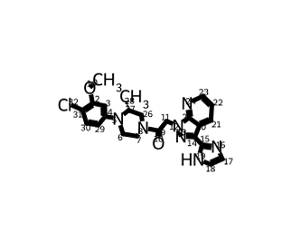 COc1cc(N2CCN(C(=O)Cn3nc(-c4ncc[nH]4)c4cccnc43)C[C@H]2C)ccc1Cl